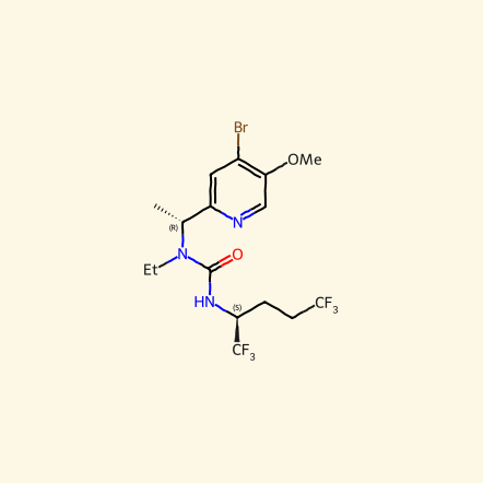 CCN(C(=O)N[C@@H](CCC(F)(F)F)C(F)(F)F)[C@H](C)c1cc(Br)c(OC)cn1